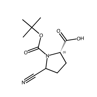 CC(C)(C)OC(=O)N1C(C#N)CC[C@H]1C(=O)O